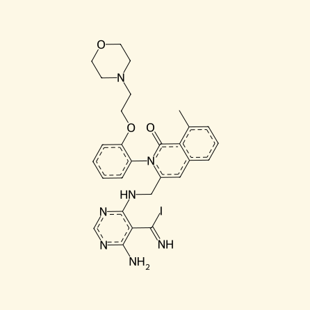 Cc1cccc2cc(CNc3ncnc(N)c3C(=N)I)n(-c3ccccc3OCCN3CCOCC3)c(=O)c12